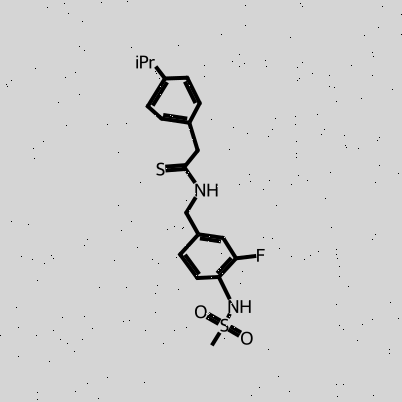 CC(C)c1ccc(CC(=S)NCc2ccc(NS(C)(=O)=O)c(F)c2)cc1